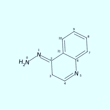 NN=C1CC=Nc2ccccc21